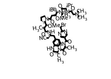 CC[C@H](C)[C@@H]([C@@H](CC(=O)N1CCC[C@H]1[C@H](OC)[C@@H](C)C(=O)N[C@H](CC#N)Cc1cccc(NC(=O)[C@H](C)NC(=O)[C@H](C)NC(=O)c2cnc(CBr)nc2)c1)OC)N(C)C(=O)[C@@H](NC(=O)CN(C)C)C(C)C